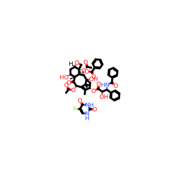 CC(=O)O[C@H]1C(=O)[C@@]2(C)[C@H]([C@H](OC(=O)c3ccccc3)[C@]3(O)C[C@H](OC(=O)[C@H](O)[C@@H](NC(=O)c4ccccc4)c4ccccc4)C(C)=C1C3(C)C)[C@]1(OC(C)=O)CO[C@@H]1C[C@@H]2O.O=c1[nH]cc(F)c(=O)[nH]1